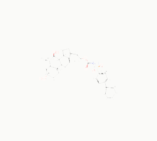 CC[C@@H]1C2C[C@H](O)CCC2(C)C2CC[C@@]3(C)C(CCC3[C@H](C)COC(=O)NS(=O)(=O)c3ccc(C4CCCCC4)cc3)C2[C@@H]1O